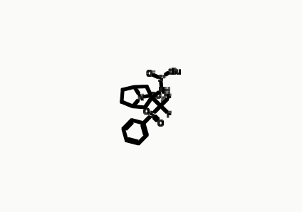 CC(C)(C)[S+]([O-])NC1(C(F)(F)S(=O)(=O)c2ccccc2)CC2CCC(C1)N2C(=O)O